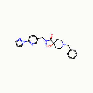 O=C(NCc1ccc(-n2cccn2)nc1)C1(O)CCN(Cc2ccccc2)CC1